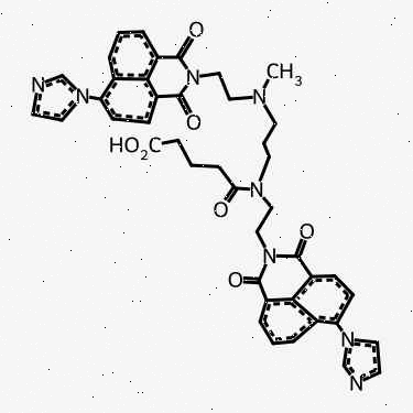 CN(CCCN(CCN1C(=O)c2cccc3c(-n4ccnc4)ccc(c23)C1=O)C(=O)CCCC(=O)O)CCN1C(=O)c2cccc3c(-n4ccnc4)ccc(c23)C1=O